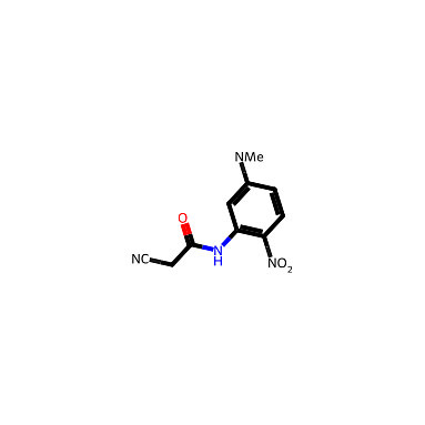 CNc1ccc([N+](=O)[O-])c(NC(=O)CC#N)c1